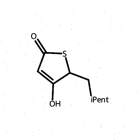 CCCC(C)CC1SC(=O)C=C1O